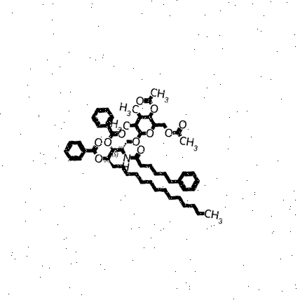 CCCCCCCCCCCCCC[C@@H](OC(=O)c1ccccc1)[C@@H](OC(=O)c1ccccc1)[C@H](COC1OC(COC(C)=O)C(OC(C)=O)C(C)C1C)NC(=O)CCCCCc1ccccc1